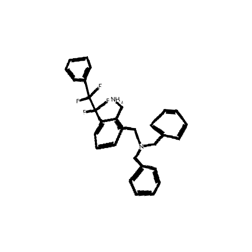 NCc1c(CN(Cc2ccccc2)Cc2ccccc2)cccc1C(F)(F)C(F)(F)c1ccccc1